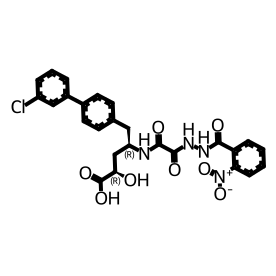 O=C(NNC(=O)c1ccccc1[N+](=O)[O-])C(=O)N[C@H](Cc1ccc(-c2cccc(Cl)c2)cc1)C[C@@H](O)C(=O)O